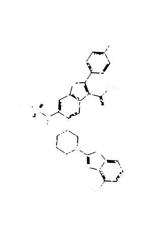 CNC(=O)c1c(-c2ccc(F)cc2)oc2cc(N(C)S(C)(=O)=O)c([C@H]3CCCN(c4nc5c(C#N)cccc5o4)C3)cc12